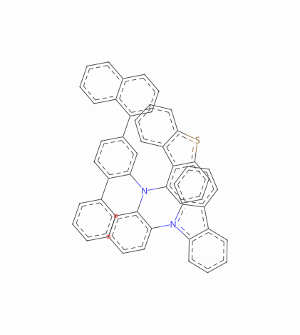 c1ccc(-c2ccc(-c3cccc4ccccc34)cc2N(c2ccccc2-n2c3ccccc3c3ccccc32)c2cccc3sc4ccccc4c23)cc1